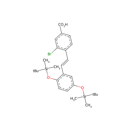 CC(C)(C)[Si](C)(C)Oc1ccc(O[Si](C)(C)C(C)(C)C)c(C=Cc2ccc(C(=O)O)cc2Br)c1